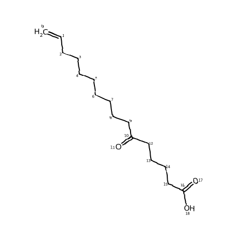 C=CCCCCCCCCC(=O)CCCCC(=O)O